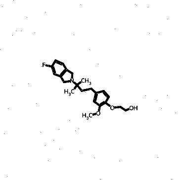 COc1cc(CCC(C)(C)N2Cc3ccc(F)cc3C2)ccc1OCCO